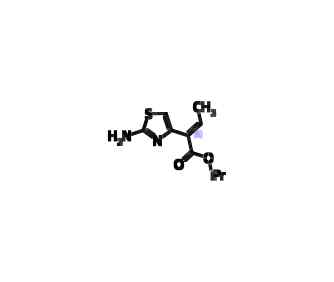 C/C=C(/C(=O)OC(C)C)c1csc(N)n1